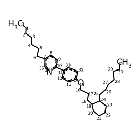 CCCCCCCc1ccc(-c2ccc(OCCCC3CCCCC3CCCCCCC)cc2)nc1